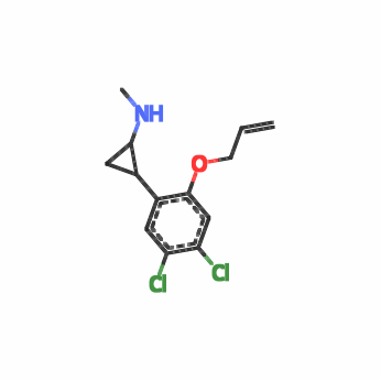 C=CCOc1cc(Cl)c(Cl)cc1C1CC1NC